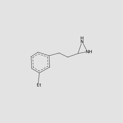 CCc1cccc(CCC2NN2)c1